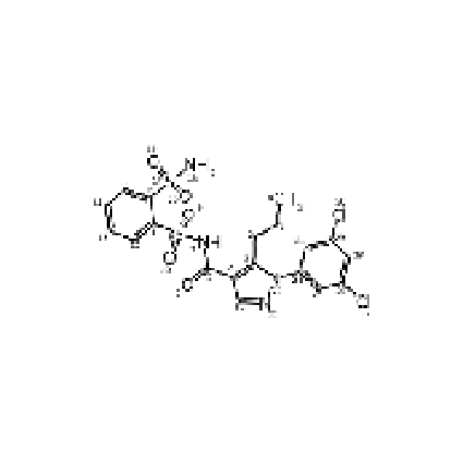 CCCc1c(C(=O)NS(=O)(=O)c2ccccc2S(N)(=O)=O)cnn1-c1cc(Cl)cc(Cl)c1